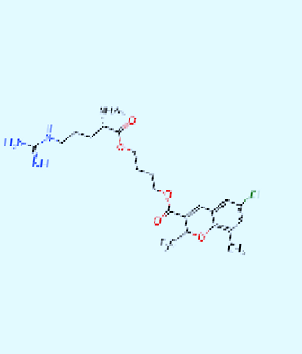 CC(=O)N[C@@H](CCCNC(=N)N)C(=O)OCCCCOC(=O)C1=Cc2cc(Cl)cc(C)c2OC1C(F)(F)F